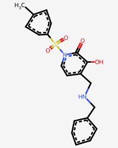 Cc1ccc(S(=O)(=O)n2ccc(CNCc3ccccc3)c(O)c2=O)cc1